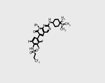 CC(C)n1c(=O)c(-c2cc(F)c(NS(=O)(=O)CCC(F)(F)F)c(F)c2F)cc2cnc(NC3CCC(C)(N(C)C)CC3)nc21